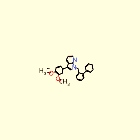 COc1ccc(-c2cn(Cc3ccccc3-c3ccccc3)c3ncccc23)cc1OC